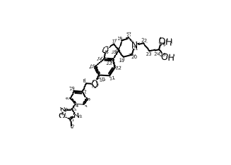 Cc1nc(-c2ccc(COc3ccc4c(c3)OCC43CCN(CCC(O)O)CC3)cc2)no1